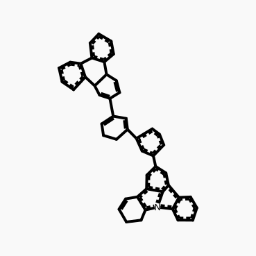 C1=Cc2c(n3c4ccccc4c4cc(-c5cccc(C6=CC(C7=CC8c9ccccc9-c9ccccc9C8C=C7)=CCC6)c5)cc2c43)CC1